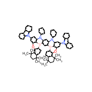 CC1(C)CCC(C)(C)c2c1ccc1c2Oc2cc(-n3c4ccccc4c4ccccc43)cc3c2B1c1cc2c(cc1N3c1ccccc1)N(c1ccccc1)c1cc(-n3c4ccccc4c4ccccc43)cc3c1B2c1ccc2c(c1O3)C(C)(C)CCC2(C)C